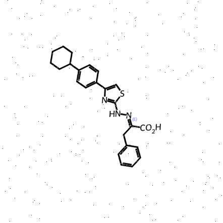 O=C(O)/C(Cc1ccccc1)=N/Nc1nc(-c2ccc(C3CCCCC3)cc2)cs1